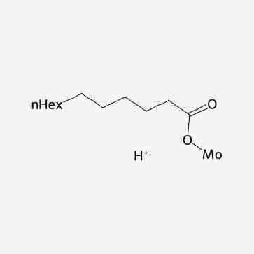 CCCCCCCCCCCC(=O)[O][Mo].[H+]